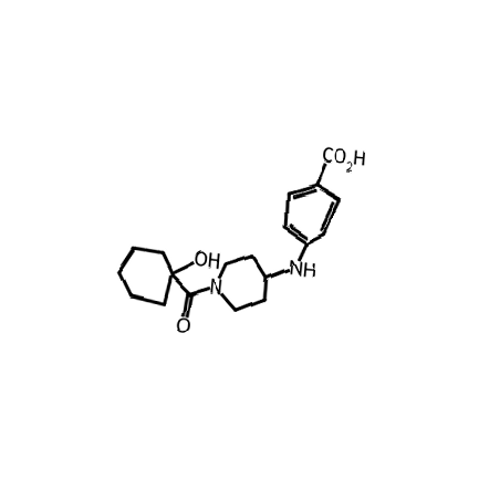 O=C(O)c1ccc(NC2CCN(C(=O)C3(O)CCCCC3)CC2)cc1